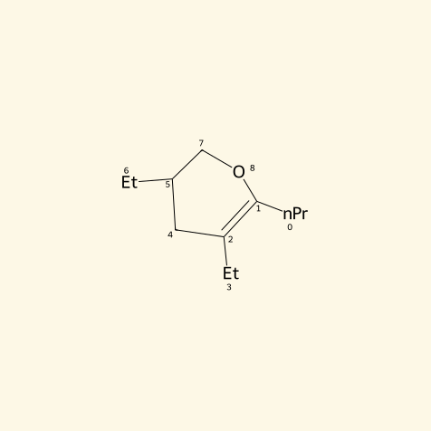 CCCC1=C(CC)CC(CC)CO1